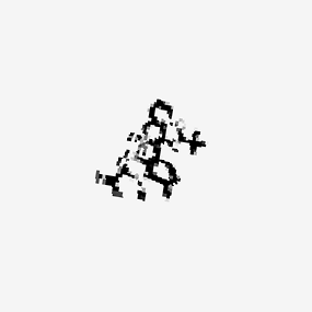 Cc1ccc(C2=C(OC(=O)C(C)(C)C)c3ncccc3CS2(=O)=O)c(Cl)c1N(C)C(=O)C(F)F